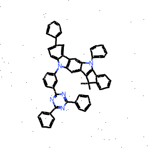 CC1(C)c2ccccc2-c2c1c1cc3c(cc1n2-c1ccccc1)c1cc(-c2ccccc2)ccc1n3-c1cccc(-c2nc(-c3ccccc3)nc(-c3ccccc3)n2)c1